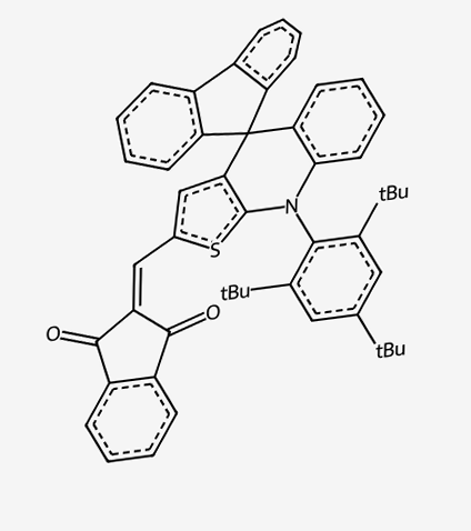 CC(C)(C)c1cc(C(C)(C)C)c(N2c3ccccc3C3(c4ccccc4-c4ccccc43)c3cc(C=C4C(=O)c5ccccc5C4=O)sc32)c(C(C)(C)C)c1